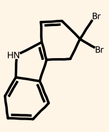 BrC1(Br)C=Cc2[nH]c3ccccc3c2C1